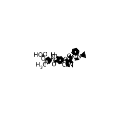 Cn1cc(NC(=O)c2cc(Cl)c(Oc3ccncc3C(=O)N3CCN(C4CC4)c4ccccc43)cc2Cl)cc1OC(=O)O